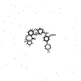 COc1cc(N2CCNCC2)ccc1Nc1ncc(C(F)(F)F)c(Nc2cccc3c2C(=O)N2CCC[C@H]2CO3)n1